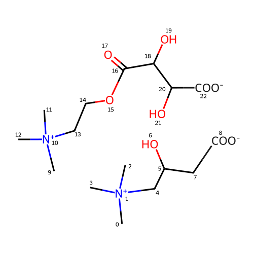 C[N+](C)(C)CC(O)CC(=O)[O-].C[N+](C)(C)CCOC(=O)C(O)C(O)C(=O)[O-]